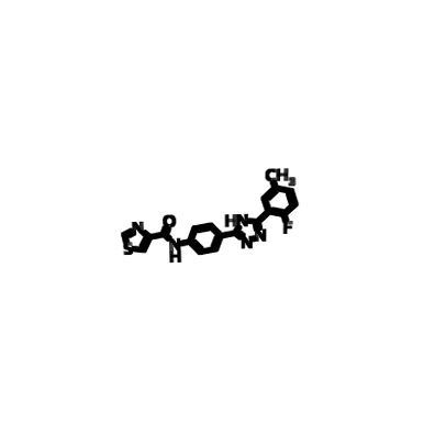 Cc1ccc(F)c(-c2nnc(-c3ccc(NC(=O)c4cscn4)cc3)[nH]2)c1